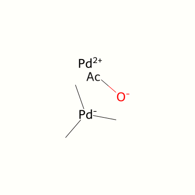 CC(=O)[O-].[CH3][Pd-]([CH3])[CH3].[Pd+2]